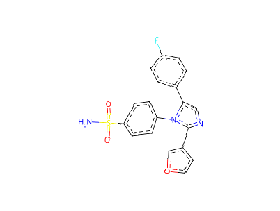 NS(=O)(=O)c1ccc(-n2c(-c3ccc(F)cc3)cnc2-c2ccoc2)cc1